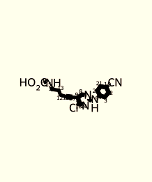 N#Cc1ccc(Nc2ncc(C#CCCCNC(=O)O)c(Cl)n2)cc1